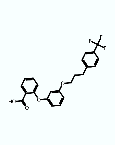 O=C(O)c1ccccc1Oc1cccc(OCCCc2ccc(C(F)(F)F)cc2)c1